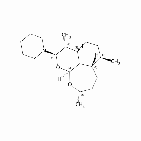 C[C@@H]1[C@@H]2CC[C@@H](C)[C@@H]3CC[C@H](C)O[C@@H](O[C@H]1N1CCCCC1)C23